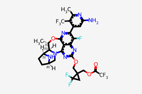 Cc1nc(N)cc(-c2nc3c4c(nc(OCC5(COC(=O)C(F)(F)F)CC5(F)F)nc4c2F)N2C[C@H]4CC[C@H](N4)[C@H]2[C@H](C)O3)c1C(F)(F)F